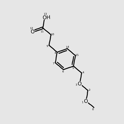 COCOCc1ccc(CCC(=O)O)cc1